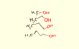 CCCCO.CCCO.CCO.CO